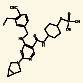 O=Cc1ccc(CNc2nc(N3CC4CC4C3)ncc2C(=O)NC2CCC(OP(=O)(O)O)CC2)cc1CF